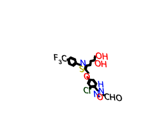 O=CC1NC(c2ccc(OCc3sc(-c4ccc(C(F)(F)F)cc4)nc3CCC(O)CO)cc2Cl)=NO1